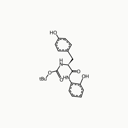 CC(C)(C)OC(=O)N[C@@H](Cc1ccc(O)cc1)C(=O)Nc1ccccc1O